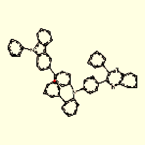 c1ccc(-c2ccccc2N(c2ccc(-c3ccc4c(c3)c3ccccc3n4-c3ccccc3)cc2)c2ccc(-c3nc4ccccc4nc3-c3ccccc3)cc2)cc1